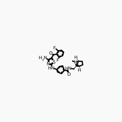 CN1[C@H]2CC[C@H](C2)[C@H]1CNC(=O)c1ccc(Nc2nc(N)c(C(=O)c3c(F)cccc3F)s2)cc1